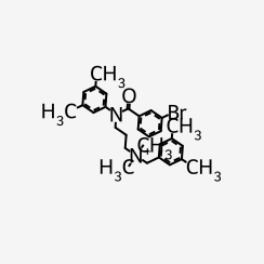 Cc1cc(C)cc(C[N+](C)(C)CCCN(C(=O)c2cccc(Br)c2)c2cc(C)cc(C)c2)c1